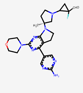 C[C@]1(N2CCc3c(-c4cnc(N)nc4)nc(N4CCOCC4)nc32)CCN(C2CC2(F)C=O)C1